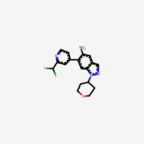 O=[N+]([O-])c1cc2cnn(C3CCOCC3)c2cc1-c1ccnc(C(F)F)c1